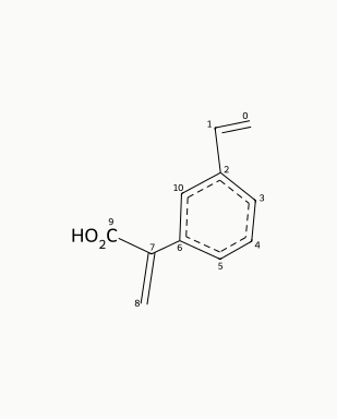 C=Cc1cccc(C(=C)C(=O)O)c1